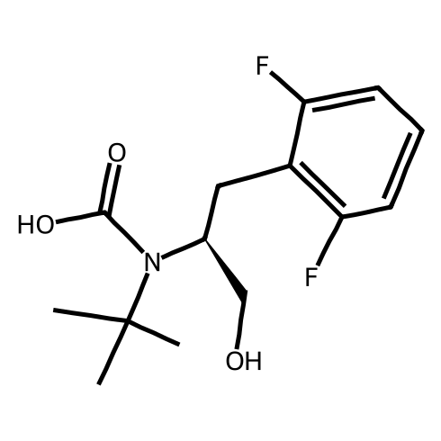 CC(C)(C)N(C(=O)O)[C@H](CO)Cc1c(F)cccc1F